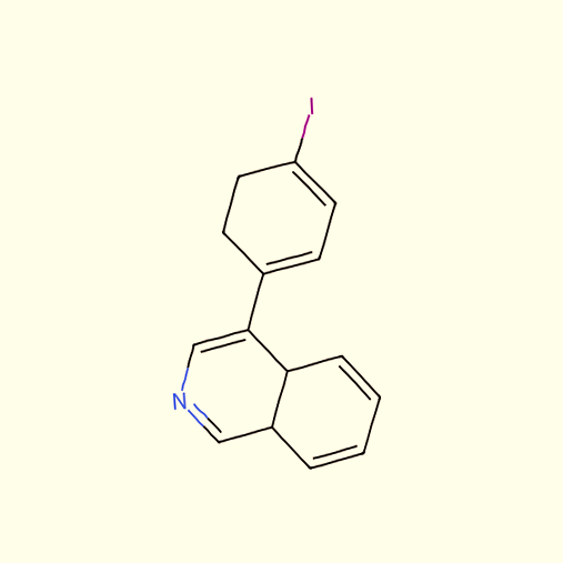 IC1=CC=C(C2=CN=CC3C=CC=CC23)CC1